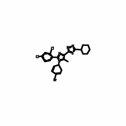 Cc1c(-c2nnc(C3CCCCC3)s2)nc(-c2ccc(Cl)cc2Cl)n1C1C=CC(Br)=CC1